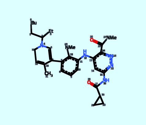 CCC(C)CC(CC)N1C=C(c2cccc(Nc3cc(NC(=O)C4CC4)nnc3C(=O)NC)c2NC)C(C)=CC1